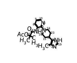 CC(=O)OC(C)(C)C(=O)Nc1cccnc1N1CCC(c2[nH]cnc2C)CC1